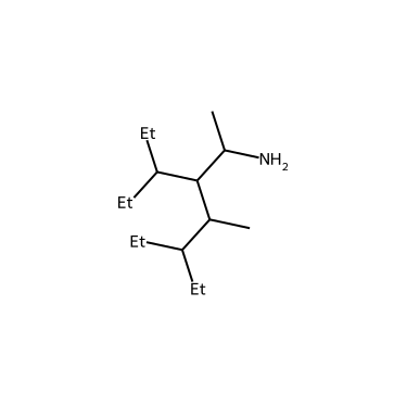 CCC(CC)C(C)C(C(C)N)C(CC)CC